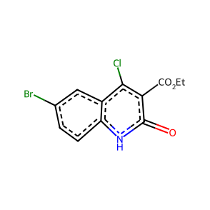 CCOC(=O)c1c(Cl)c2cc(Br)ccc2[nH]c1=O